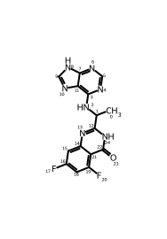 CC(Nc1ncnc2[nH]cnc12)c1nc2cc(F)cc(F)c2c(=O)[nH]1